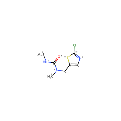 CSNC(=O)N(C)Cc1cnc(Cl)s1